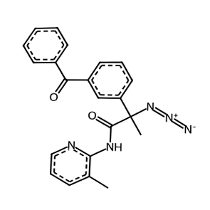 Cc1cccnc1NC(=O)C(C)(N=[N+]=[N-])c1cccc(C(=O)c2ccccc2)c1